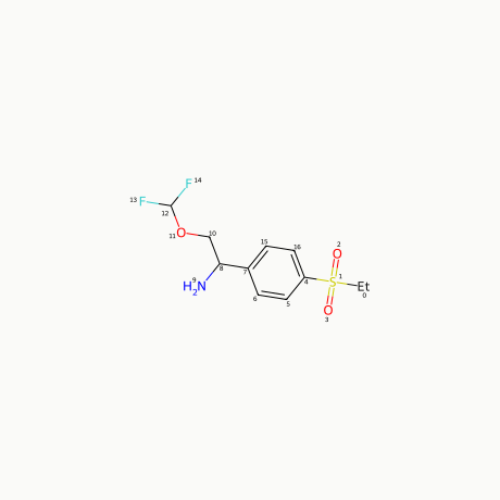 CCS(=O)(=O)c1ccc(C(N)COC(F)F)cc1